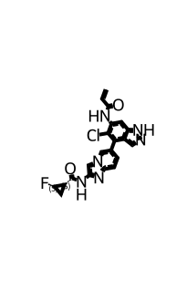 C=CC(=O)Nc1cc2[nH]ncc2c(-c2ccc3nc(NC(=O)[C@@H]4C[C@@H]4F)cn3c2)c1Cl